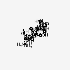 CCNC(=O)CNC(=O)[C@@H]1CCCN1C(=O)[C@H](CCCN=C(N)N)NC(=O)[C@H](CC(C)C)NC(=O)[C@@H](Cc1c[nH]c2ccccc12)NC(=O)[C@H](Cc1ccc(O)cc1)NC(=O)[C@H](CO)NC(=O)[C@H](Cc1c[nH]c2ccccc12)NC(=O)[C@H](Cc1cnc[nH]1)NC(=O)[C@@H]1CCC(=O)N1